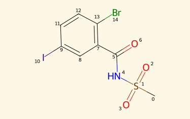 CS(=O)(=O)NC(=O)c1cc(I)ccc1Br